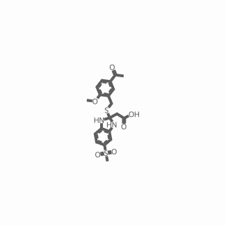 COc1ccc(C(C)=O)cc1CSC1(CC(=O)O)Nc2ccc(S(C)(=O)=O)cc2N1